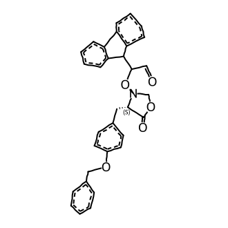 O=CC(ON1COC(=O)[C@@H]1Cc1ccc(OCc2ccccc2)cc1)C1c2ccccc2-c2ccccc21